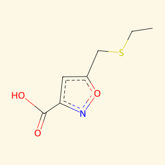 CCSCc1cc(C(=O)O)no1